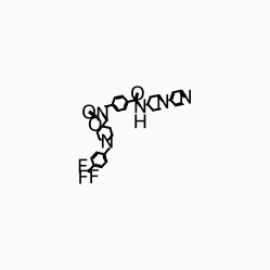 O=C(NC1CCN(c2ccncc2)CC1)c1ccc(CN2CC3(CCN(Cc4ccc(C(F)(F)F)cc4)CC3)OC2=O)cc1